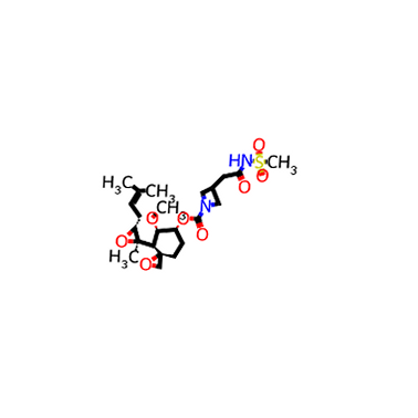 CO[C@@H]1[C@H](OC(=O)N2CC(CC(=O)NS(C)(=O)=O)C2)CC[C@]2(CO2)[C@H]1[C@@]1(C)O[C@@H]1CC=C(C)C